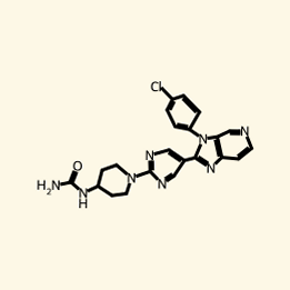 NC(=O)NC1CCN(c2ncc(-c3nc4ccncc4n3-c3ccc(Cl)cc3)cn2)CC1